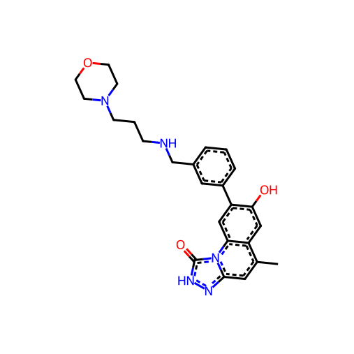 Cc1cc2n[nH]c(=O)n2c2cc(-c3cccc(CNCCCN4CCOCC4)c3)c(O)cc12